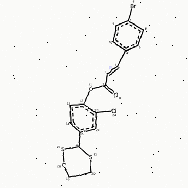 O=C(/C=C/c1ccc(Br)cc1)Oc1ccc(C2SCCCS2)cc1Cl